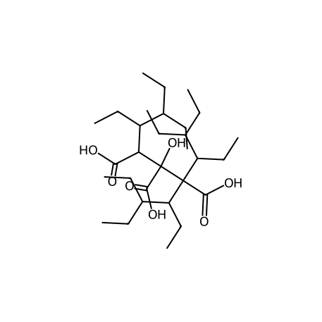 CCC(CC)C(CC)C(C(=O)O)C(O)(C(=O)O)C(C(=O)O)(C(CC)C(CC)CC)C(CC)C(CC)CC